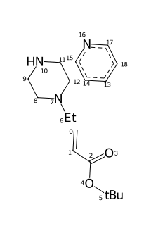 C=CC(=O)OC(C)(C)C.CCN1CCNCC1.c1ccncc1